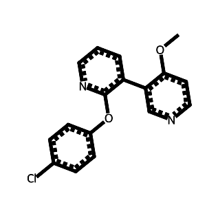 COc1ccncc1-c1cccnc1Oc1ccc(Cl)cc1